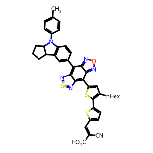 CCCCCCc1cc(-c2c3c(c(-c4ccc5c(c4)C4CCCC4N5c4ccc(C)cc4)c4nonc24)N=S=N3)sc1-c1ccc(/C=C(\C#N)C(=O)O)s1